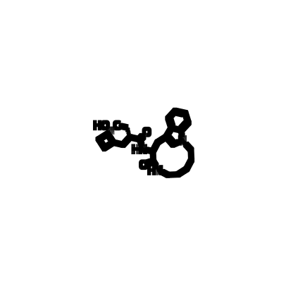 O=C(O)C[C@@H](CC1CCC1)C(=O)NC1Cc2cn(c3ccccc23)CCCCCNC1=O